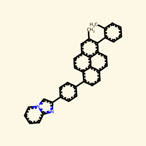 Cc1ccccc1-c1c(C)cc2ccc3c(-c4ccc(-c5cn6ccccc6n5)cc4)ccc4ccc1c2c43